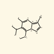 COc1c(C(C)C)c(C)nc2c(Br)cnn12